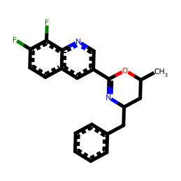 CC1CC(Cc2ccccc2)N=C(c2cnc3c(F)c(F)ccc3c2)O1